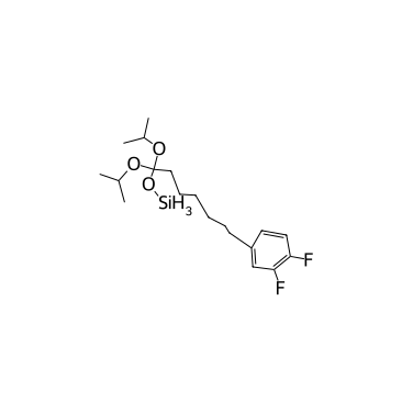 CC(C)OC(CCCCCCc1ccc(F)c(F)c1)(O[SiH3])OC(C)C